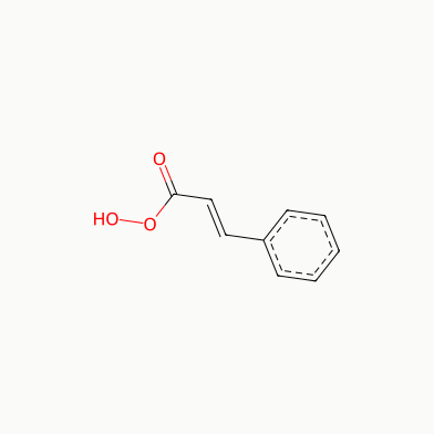 O=C(C=Cc1ccccc1)OO